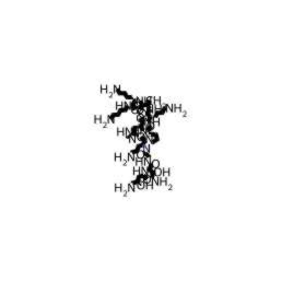 C=C(NC(=O)[C@H](CCCCN)NC(=O)[C@H](Cc1cnc[nH]1)NC(=O)[C@@H]1CCCN1C(=O)/C(CCCN)=N/C(=O)CNC(=O)[C@@H](NC(=O)C[C@@H](O)CN)[C@@H](O)CN)C(=O)N[C@@H](CCCCN)C(=O)NCCCCN